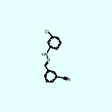 N#Cc1cccc(C=NNc2cccc(Cl)c2)c1